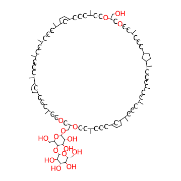 CC1CCCC2CCC(C2)C(C)CCCC(C)CCC(C)CCCC(C)C2CCC(CCCC(C)CCOC(CO[C@@H]3O[C@H](CO)[C@H](O[C@@H]4O[C@H](CO)[C@@H](O)[C@H](O)[C@H]4O)[C@H](O)[C@H]3O)COCCC(C)CCCC3CCC(C3)C(C)CCCC(C)CCC(C)CCCC(C)C3CCC(CCCC(C)CCOC(CO)COCC1)C3)C2